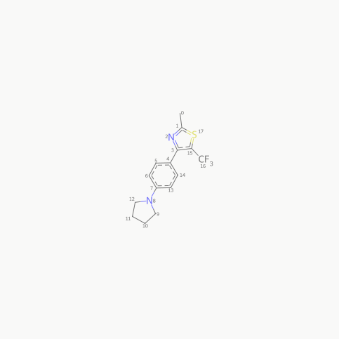 Cc1nc(-c2ccc(N3CCCC3)cc2)c(C(F)(F)F)s1